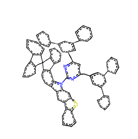 c1ccc(-c2cc(-c3ccccc3)cc(-c3cc(-c4cc(-c5ccccc5)cc(-c5ccccc5)c4)nc(-n4c5cc6sc7ccccc7c6cc5c5ccc6c(c54)-c4ccccc4C64c5ccccc5-c5ccccc54)n3)c2)cc1